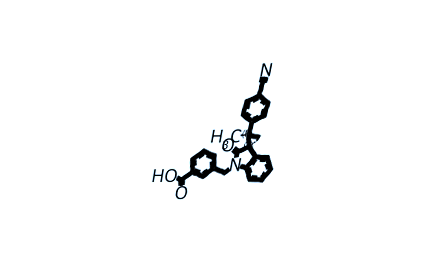 C[C@]1(c2ccc(C#N)cc2)C[C@]12C(=O)N(Cc1cccc(C(=O)O)c1)c1ccccc12